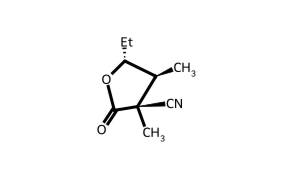 CC[C@H]1OC(=O)[C@](C)(C#N)[C@@H]1C